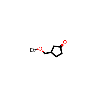 CCOCC1CCC(=O)C1